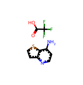 Nc1ccnc2ccsc12.O=C(O)C(F)(F)F